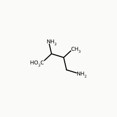 CC(CN)C(N)C(=O)O